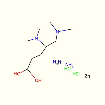 CN(C)CC(CCC(O)O)N(C)C.Cl.Cl.N.N.[Zn]